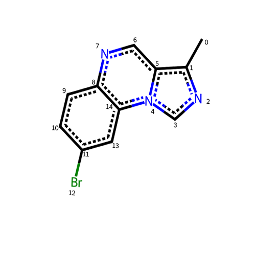 Cc1ncn2c1cnc1ccc(Br)cc12